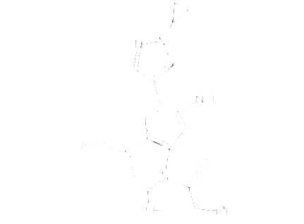 CC(C)CC(=O)N1c2cc([N+](=O)[O-])c(-c3cnn(C4CC4)c3)cc2N(C(=O)O)CC1C